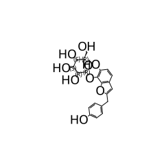 OC[C@H]1O[C@H](Oc2c(O)ccc3cc(Cc4ccc(O)cc4)oc23)[C@H](O)[C@@H](O)[C@@H]1O